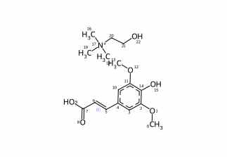 COc1cc(/C=C/C(=O)O)cc(OC)c1O.C[N+](C)(C)CCO